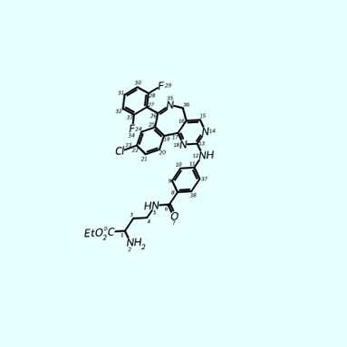 CCOC(=O)C(N)CCNC(=O)c1ccc(Nc2ncc3c(n2)-c2ccc(Cl)cc2C(c2c(F)cccc2F)=NC3)cc1